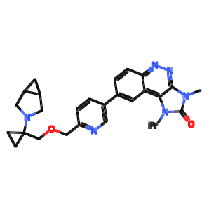 CC(C)n1c(=O)n(C)c2nnc3ccc(-c4ccc(COCC5(N6CC7CC7C6)CC5)nc4)cc3c21